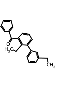 CCc1cccc(-c2cccc(C(=O)c3ccccc3)c2CC)c1